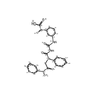 CN(C(=O)CN(C(=O)NC(=O)Nc1cccc(C(=O)C(=O)O)c1)c1ccccc1)c1ccccc1